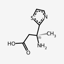 C[C@](N)(CC(=O)O)c1nccs1